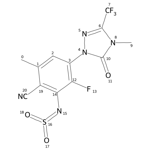 Cc1cc(-n2nc(C(F)(F)F)n(C)c2=O)c(F)c(N=S(=O)=O)c1C#N